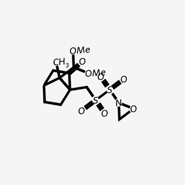 COC(OC)C1(C)C2CCC1(CS(=O)(=O)S(=O)(=O)N1CO1)C(=O)C2